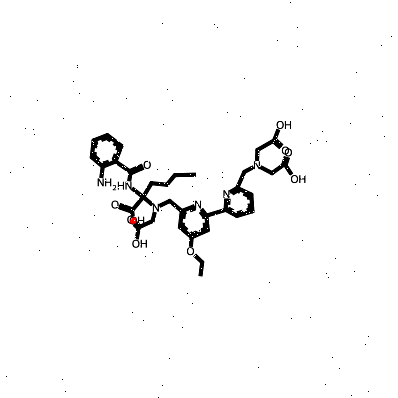 CCCCC(NC(=O)c1ccccc1N)(C(=O)O)N(CC(=O)O)Cc1cc(OCC)cc(-c2cccc(CN(CC(=O)O)CC(=O)O)n2)n1